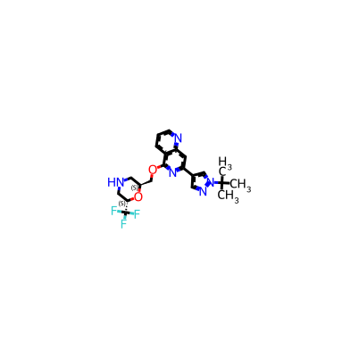 CC(C)(C)n1cc(-c2cc3ncccc3c(OC[C@@H]3CNC[C@@H](C(F)(F)F)O3)n2)cn1